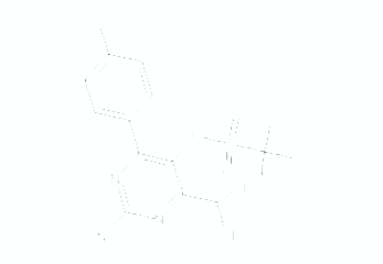 CC(C)c1nc(N)nc(-c2ccc(F)cc2)c1OS(=O)(=O)C(F)(F)F